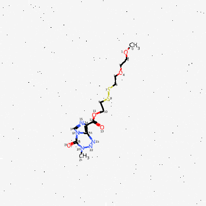 COCCOCCSSCCOC(=O)c1ncn2c(=O)n(C)nnc12